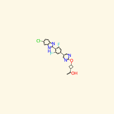 C=C(O)[C@H]1C[C@@H](Oc2ncc(-c3cc(F)c(-c4nc5ccc(Cl)cc5[nH]4)c(F)c3)cn2)C1